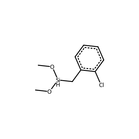 CO[SiH](Cc1ccccc1Cl)OC